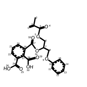 C=C(C)C(=O)OCC(COc1ccccc1)OC(=O)c1cccc(C(=O)O)c1C(=O)O